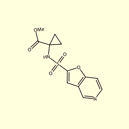 COC(=O)C1(NS(=O)(=O)c2cc3cnccc3o2)CC1